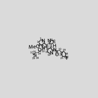 COc1ccnc2c(-c3ccccn3)c(-c3ccnc(NC(=O)Cc4ccc(F)cc4)c3)n(COCC[Si](C)(C)C)c12